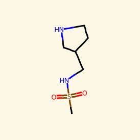 CS(=O)(=O)NCC1CCNC1